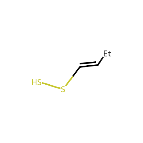 CCC=CSS